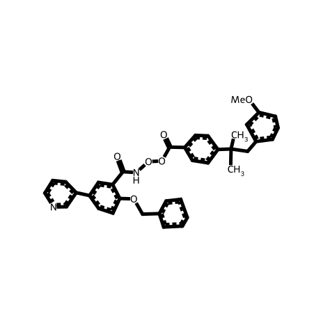 COc1cccc(CC(C)(C)c2ccc(C(=O)OONC(=O)c3cc(-c4cccnc4)ccc3OCc3ccccc3)cc2)c1